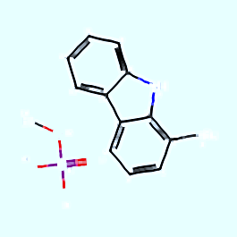 CCCCc1cccc2c1[nH]c1ccccc12.CCOP(=O)(O)O